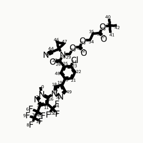 Cn1nc(C(F)(F)C(F)(F)F)c(C(F)(F)F)c1-n1cc(-c2ccc(Cl)c(C(=O)N(COC(=O)OCCC(=O)OC(C)(C)C)C3(C#N)CC3)c2)cn1